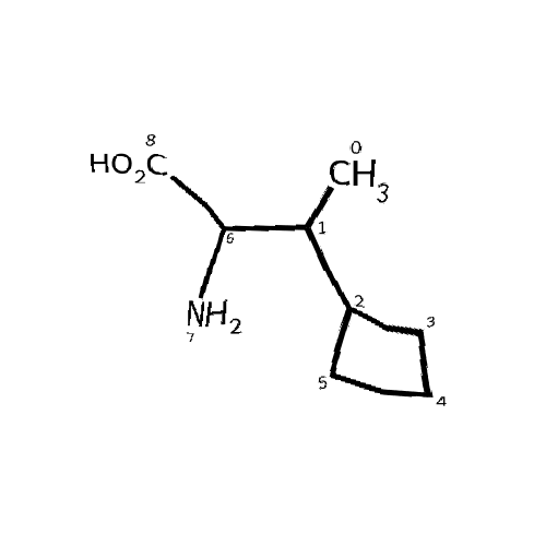 CC(C1CCC1)C(N)C(=O)O